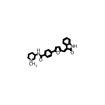 CN1CCCC(NC(=O)c2ccc(-c3ccc(/C=C4/C(=O)Nc5ccccc54)o3)cc2)C1